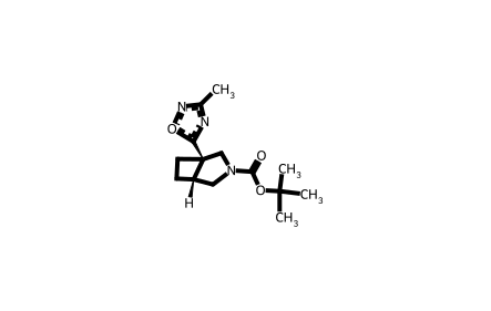 Cc1noc([C@]23CC[C@H]2CN(C(=O)OC(C)(C)C)C3)n1